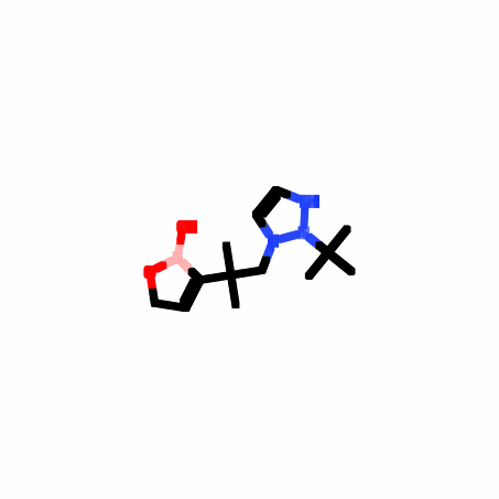 CC(C)(CN1C=CNN1C(C)(C)C)C1=CCOB1O